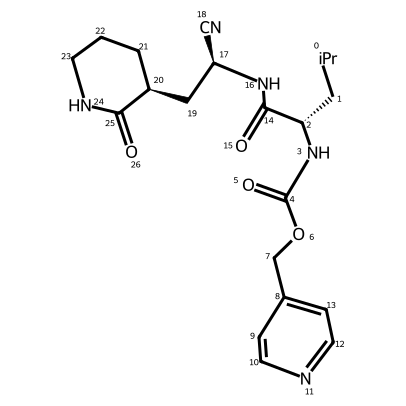 CC(C)C[C@H](NC(=O)OCc1ccncc1)C(=O)N[C@H](C#N)C[C@@H]1CCCNC1=O